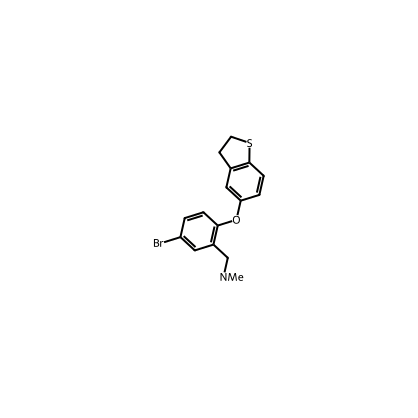 CNCc1cc(Br)ccc1Oc1ccc2c(c1)CCS2